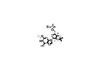 CC1(C)O[C@@H]2[C@@H](CO[Si](C)(C)C(C)(C)C)O[C@@H](n3cnc4c3N=C(N)NC4O)[C@]2(C)O1